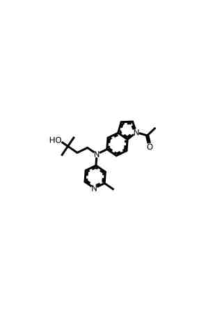 CC(=O)n1ccc2cc(N(CCC(C)(C)O)c3ccnc(C)c3)ccc21